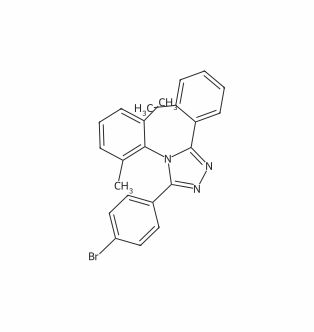 Cc1ccccc1-c1nnc(-c2ccc(Br)cc2)n1-c1c(C)cccc1C